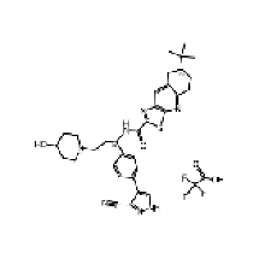 CC(C)(C)[C@H]1CCc2nc3sc(C(=O)N[C@H](CCN4CCC(O)CC4)c4ccc(-c5c[nH]nc5C#N)cc4)nc3cc2C1.O=C(O)C(F)(F)F